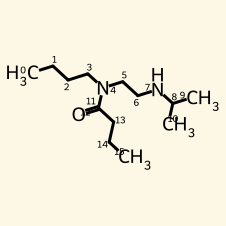 CCCCN(CCNC(C)C)C(=O)CCC